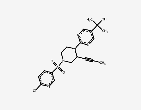 CC#CC1CN(S(=O)(=O)c2ccc(Cl)nc2)CCN1c1ncc(C(C)(C)O)cn1